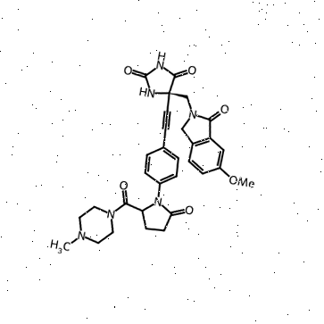 COc1ccc2c(c1)C(=O)N(C[C@@]1(C#Cc3ccc(N4C(=O)CCC4C(=O)N4CCN(C)CC4)cc3)NC(=O)NC1=O)C2